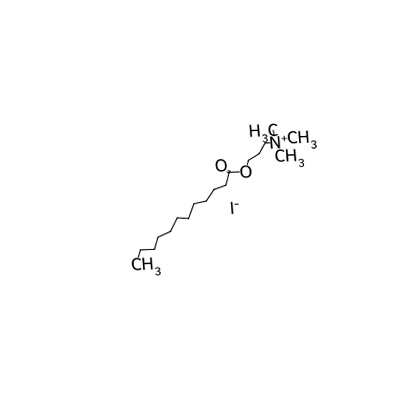 CCCCCCCCCCCC(=O)OCCC[N+](C)(C)C.[I-]